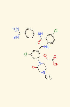 CN1CCN(c2cc(Cl)cc(CNc3ccc(Cl)cc3C(=O)Nc3ccc(C(=N)N)cc3)c2OCC(=O)O)C(=O)C1